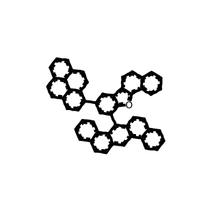 c1ccc2c(c1)ccc1c(-c3cc(-c4ccc5ccc6cccc7ccc4c5c67)cc4c3oc3c5ccccc5ccc43)c3c(ccc4ccccc43)cc12